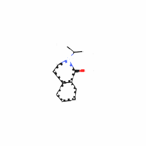 CC(C)n1ccc2ccccc2c1=O